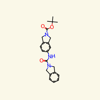 CC(C)(C)OC(=O)N1Cc2ccc(NC(=O)N3Cc4ccccc4C3)cc2C1